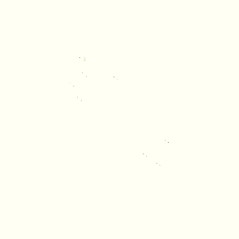 Nn1nnc2c(OCc3ccccc3-n3cncn3)ccnc21